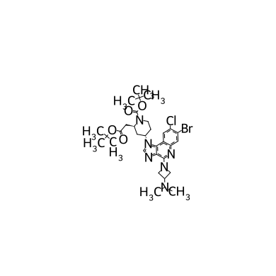 CN(C)C1CN(c2nc3cc(Br)c(Cl)cc3c3c2ncn3[C@H]2CCN(C(=O)OC(C)(C)C)[C@H](CC(=O)OC(C)(C)C)C2)C1